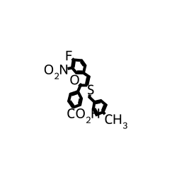 Cc1ccc(CSC(=Cc2ccc(F)c([N+](=O)[O-])c2)C(=O)c2ccc(C(=O)O)cc2)cc1